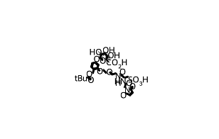 CC(C)(C)C(=O)OCc1ccc(O[C@@H]2O[C@H](C(=O)O)[C@@H](O)[C@H](O)[C@H]2O)cc1OCCOCCNC(=O)C(CS(=O)(=O)O)NC(=O)CN1C(=O)C=CC1=O